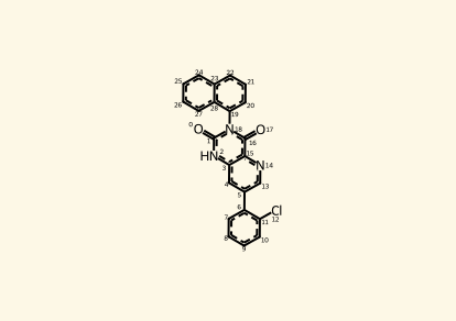 O=c1[nH]c2cc(-c3ccccc3Cl)cnc2c(=O)n1-c1cccc2ccccc12